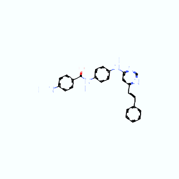 Nc1ccc(C(=O)Nc2ccc(Nc3cc(/C=C/c4ccccc4)ncn3)cc2)cc1